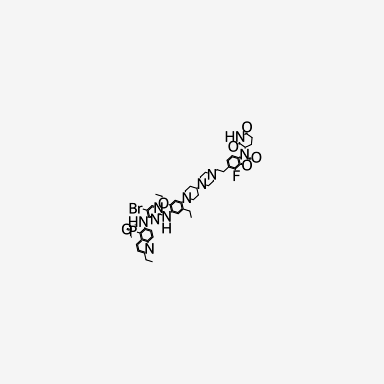 CCOc1cc(N2CCC(N3CCN(CCc4ccc5c(oc(=O)n5C5CCC(=O)NC5=O)c4F)CC3)CC2)c(CC)cc1Nc1ncc(Br)c(Nc2ccc3nc(CC)ccc3c2P(C)(C)=O)n1